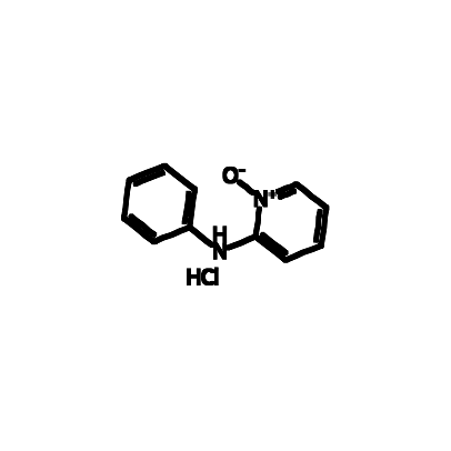 Cl.[O-][n+]1ccccc1Nc1ccccc1